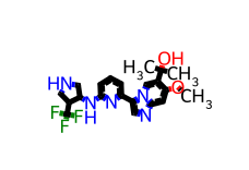 COc1cc2ncc(-c3cccc(NC4CNCC4C(F)(F)F)n3)n2cc1C(C)(C)O